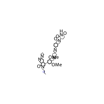 C/C=C/Cn1cc(-c2cc(OC)c(CN3CCC4(CC3)CN(c3ccc5c(c3)CN(C3CCC(=O)NC3=O)C5=O)C4)c(OC)c2)c2cc(N3CCC3)ncc2c1=O